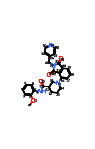 COc1ccccc1NC(=O)[C@@H]1CCCN(c2cccc3c2C(=O)N(Cc2ccncc2)C3=O)C1